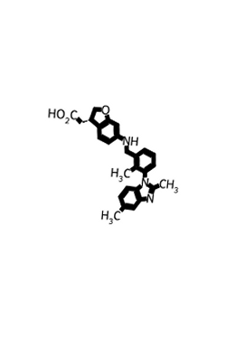 Cc1ccc2c(c1)nc(C)n2-c1cccc(CNc2ccc3c(c2)OC[C@H]3CC(=O)O)c1C